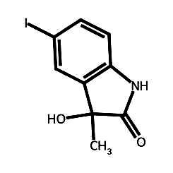 CC1(O)C(=O)Nc2ccc(I)cc21